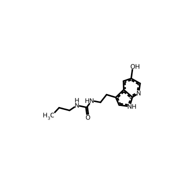 CCCNC(=O)NCCc1c[nH]c2ncc(O)cc12